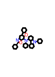 c1ccc(-c2nc3cc4c(oc5ccccc54)c(N(c4ccccc4)c4cccc5c4c4ccccc4n5-c4ccccc4)c3o2)cc1